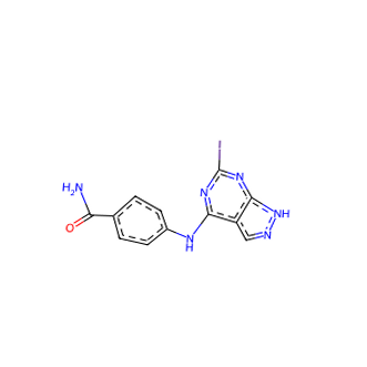 NC(=O)c1ccc(Nc2nc(I)nc3[nH]ncc23)cc1